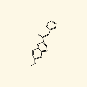 COc1ccc2cc(/C(Cl)=C/c3ccccc3)ccc2c1